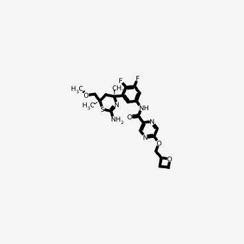 COC[C@@]1(C)C[C@@](C)(c2cc(NC(=O)c3cnc(OCC4CCO4)cn3)cc(F)c2F)N=C(N)S1